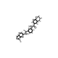 C[C@H](Nc1cnc2cnn(C)c2n1)c1cccc(NC(=O)c2cnc3c(c2)CCCO3)c1